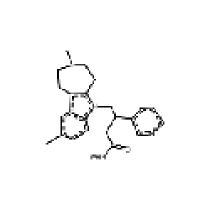 CNC(=O)CC(Cn1c2c(c3cc(C)ccc31)CCN(C)CC2)c1cccnc1